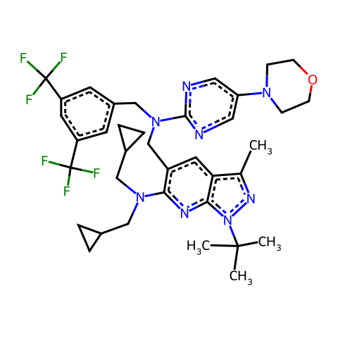 Cc1nn(C(C)(C)C)c2nc(N(CC3CC3)CC3CC3)c(CN(Cc3cc(C(F)(F)F)cc(C(F)(F)F)c3)c3ncc(N4CCOCC4)cn3)cc12